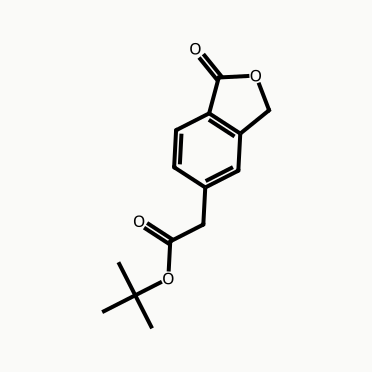 CC(C)(C)OC(=O)Cc1ccc2c(c1)COC2=O